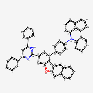 c1ccc(-c2cc(-c3ccccc3)nc(-c3cc(-c4ccc(N(c5ccccc5)c5cccc6ccccc56)cc4)c4c(c3)oc3cc5ccccc5cc34)n2)cc1